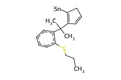 CCCSc1ccccc1C(C)(C)C1=[C]([Sn])CC=C1